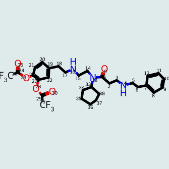 O=C(CCNCCc1ccccc1)N(CCNCCc1ccc(OC(=O)C(F)(F)F)c(OC(=O)C(F)(F)F)c1)C1CCCCC1